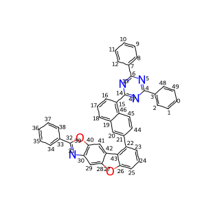 c1ccc(-c2nc(-c3ccccc3)nc(-c3cccc4cc(-c5cccc6oc7cc8nc(-c9ccccc9)oc8cc7c56)ccc34)n2)cc1